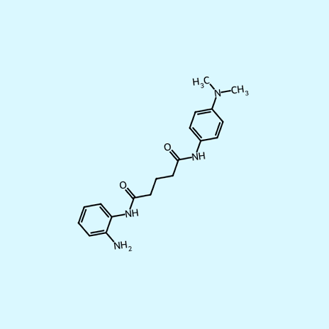 CN(C)c1ccc(NC(=O)CCCC(=O)Nc2ccccc2N)cc1